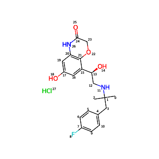 CC(C)(Cc1ccc(F)cc1)NC[C@H](O)c1cc(O)cc2c1OCC(=O)N2.Cl